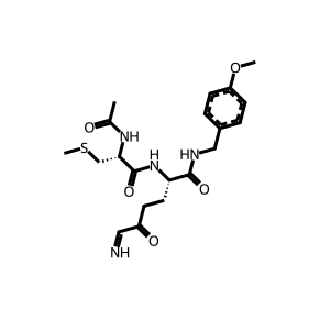 COc1ccc(CNC(=O)[C@H](CCC(=O)C=N)NC(=O)[C@H](CSC)NC(C)=O)cc1